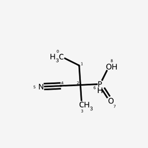 CCC(C)(C#N)[PH](=O)O